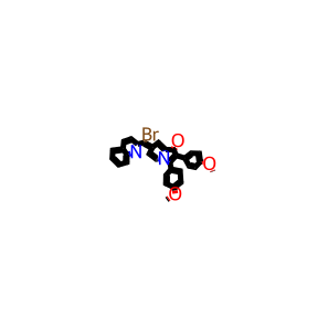 COc1ccc(C2=C(c3ccc(OC)cc3)N3C=CC(=C(Br)c4ccc5ccccc5n4)C=C3C2=O)cc1